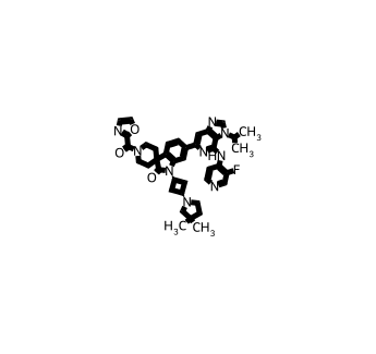 CC(C)n1cnc2cc(-c3ccc4c(c3)N([C@H]3C[C@@H](N5CCC(C)(C)C5)C3)C(=O)C43CCN(C(=O)c4ncco4)CC3)nc(Nc3ccncc3F)c21